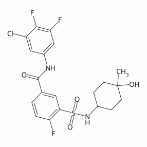 CC1(O)CCC(NS(=O)(=O)c2cc(C(=O)Nc3cc(F)c(F)c(Cl)c3)ccc2F)CC1